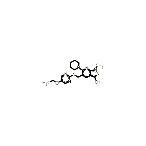 CCOc1cnc(NCc2cc3c(C)nn(C)c3nc2N2CCCCC2)nc1